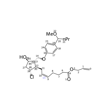 C=CCOC(=O)CCC/C=C\C[C@@H]1[C@@H](COc2ccc(C(CCC)OC)cc2)[C@H](O)C[C@H]1Cl